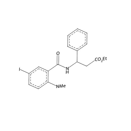 CCOC(=O)CC(NC(=O)c1cc(I)ccc1NC)c1ccccc1